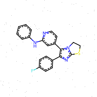 Fc1ccc(-c2nc3n(c2-c2ccnc(Nc4ccccc4)c2)CCS3)cc1